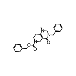 CN1CN(Cc2ccccc2)C(=O)C2=C1CCN(C(=O)OCc1ccccc1)C2